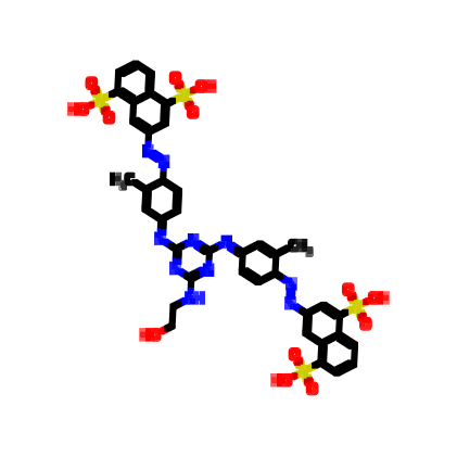 CC1=C/C(=N/c2nc(/N=C3\C=CC(/N=N/c4cc(S(=O)(=O)O)c5cccc(S(=O)(=O)O)c5c4)C(C)=C3)nc(NCCO)n2)C=CC1/N=N/c1cc(S(=O)(=O)O)c2cccc(S(=O)(=O)O)c2c1